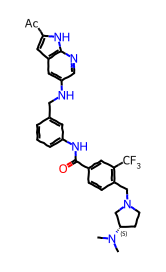 CC(=O)c1cc2cc(NCc3cccc(NC(=O)c4ccc(CN5CC[C@H](N(C)C)C5)c(C(F)(F)F)c4)c3)cnc2[nH]1